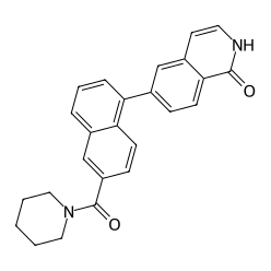 O=C(c1ccc2c(-c3ccc4c(=O)[nH]ccc4c3)cccc2c1)N1CCCCC1